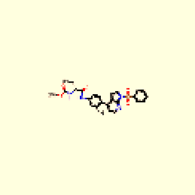 CC(C)C[C@@H](NC(=O)OC(C)(C)C)C(=O)Nc1ccc(-c2ccnc3c2ccn3S(=O)(=O)c2ccccc2)c(C#N)c1